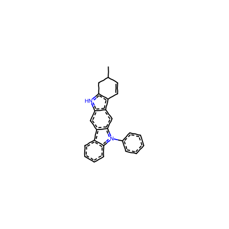 CC1C=Cc2c([nH]c3cc4c5ccccc5n(-c5ccccc5)c4cc23)C1